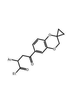 CCC(=O)C(CC(=O)c1ccc2c(c1)OCC1(CC1)O2)C(C)=O